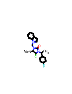 CNC1C(Cl)N(C(C)c2ccc(F)cc2)C(=O)N1Cn1ccc2ccccc21